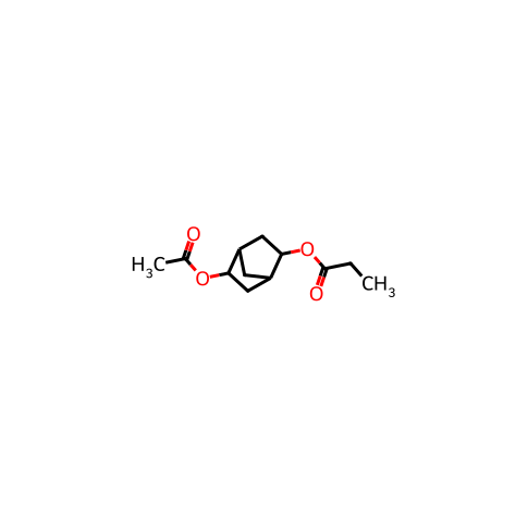 CCC(=O)OC1CC2CC1CC2OC(C)=O